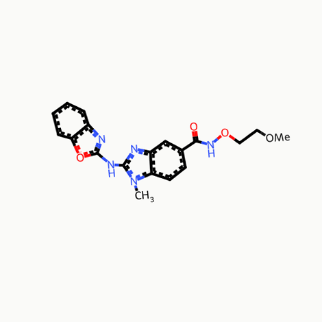 COCCONC(=O)c1ccc2c(c1)nc(Nc1nc3ccccc3o1)n2C